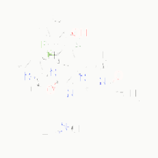 C=CC(=O)N1CC2CN(CCCN(C)C)c3c(c4cc(Cl)c(-c5c(O)cccc5F)c(F)c4n(-c4c(C)ccnc4C(C)C)c3=O)N2CC1C